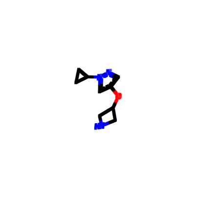 c1nn(C2CC2)cc1OC1CNC1